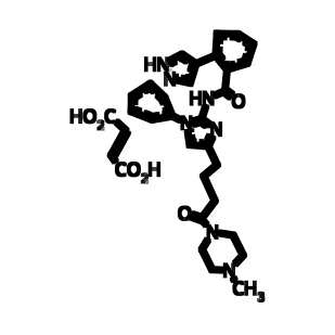 CN1CCN(C(=O)CCCc2cn(-c3ccccc3)c(NC(=O)c3ccccc3-c3cn[nH]c3)n2)CC1.O=C(O)/C=C/C(=O)O